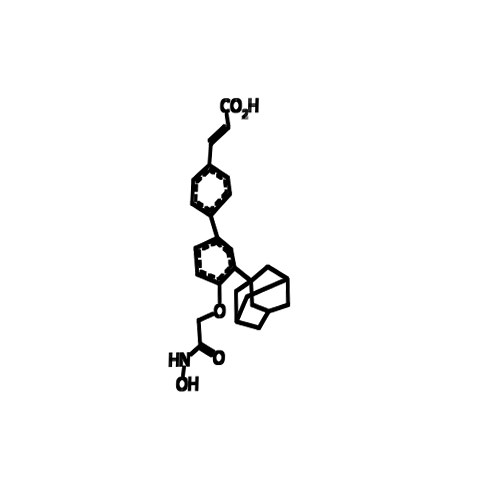 O=C(O)C=Cc1ccc(-c2ccc(OCC(=O)NO)c(C34CC5CC(CC(C5)C3)C4)c2)cc1